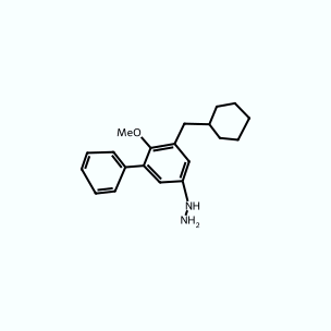 COc1c(CC2CCCCC2)cc(NN)cc1-c1ccccc1